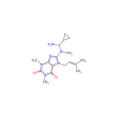 CC(C)=CCn1c(N(C)C(N)C2CC2)nc2c1c(=O)n(C)c(=O)n2C